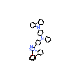 c1ccc(-c2ccccc2-n2c(-c3ccccc3)nnc2-c2ccc(N(c3ccccc3)c3ccc(-n4c5ccccc5c5ccccc54)cc3)cc2)cc1